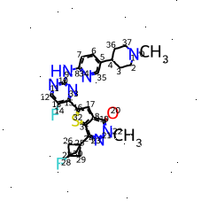 CN1CCC(c2ccc(Nc3ncc(F)c(-c4cc5c(=O)n(C)nc(C67CC(F)(C6)C7)c5s4)n3)nc2)CC1